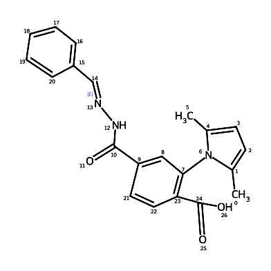 Cc1ccc(C)n1-c1cc(C(=O)N/N=C/c2ccccc2)ccc1C(=O)O